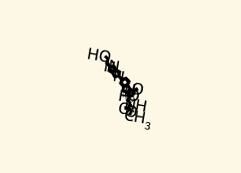 COC(=O)NC[C@@H]1OC(=O)N2c3ccc(N4Cc5cn(CCO)nc5C4)cc3C[C@@H]12